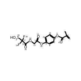 C=C(C)C(=O)Oc1ccc(OC(=O)COC(=O)C(F)(F)S(=O)(=O)O)cc1